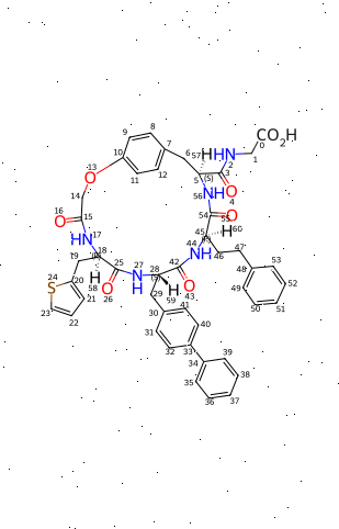 O=C(O)CNC(=O)[C@@H]1Cc2ccc(cc2)OCC(=O)N[C@H](Cc2cccs2)C(=O)N[C@@H](Cc2ccc(-c3ccccc3)cc2)C(=O)N[C@H](CCc2ccccc2)C(=O)N1